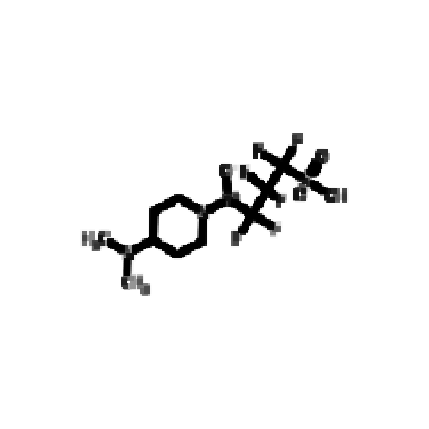 CN(C)C1CCN([S+]([O-])C(F)(F)C(F)(F)C(F)(F)S(=O)(=O)O)CC1